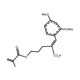 C=C(C)C(=O)OCCCC(=Cc1ccc(OC)cc1OC)C(=O)O